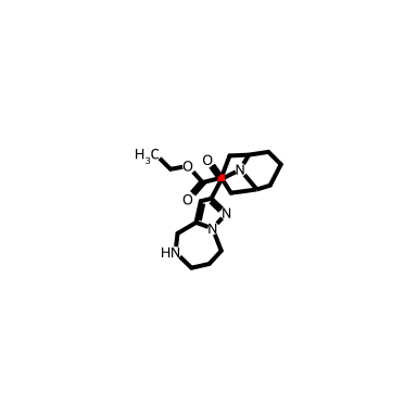 CCOC(=O)C1CC2CCCC(C1)N2C(=O)c1cc2n(n1)CCCNC2